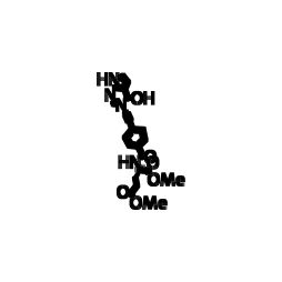 COC(=O)CC[C@@H](NC(=O)c1ccc(C#CN2C=Nc3[nH]ccc3C2O)cc1)C(=O)OC